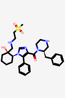 CS(=O)(=O)CCNC[C@@]1(O)CCCC[C@@H]1n1cnc(C(=O)N2CCNC[C@H]2Cc2ccccc2)c1-c1ccccc1